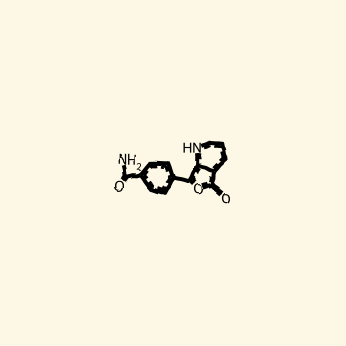 NC(=O)c1ccc(-c2oc(=O)c3ccc[nH]c2-3)cc1